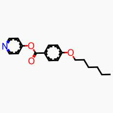 CCCCCCOc1ccc(C(=O)Oc2ccncc2)cc1